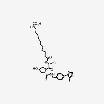 Cc1ncsc1-c1ccc(CNC(=O)[C@@H]2C[C@@H](O)CN2C(=O)[C@@H](NC(=O)CCCCCCCCCCNC(=O)O)C(C)(C)C)cc1